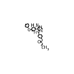 C/C=C/C(=O)Cc1ccc(Nc2ncnc(N)c2-c2ccc(Oc3ccccc3)cc2)cc1